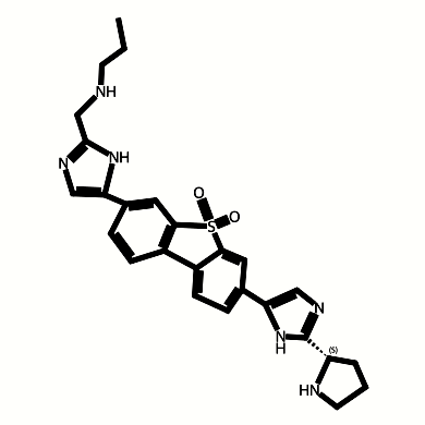 CCCNCc1ncc(-c2ccc3c(c2)S(=O)(=O)c2cc(-c4cnc([C@@H]5CCCN5)[nH]4)ccc2-3)[nH]1